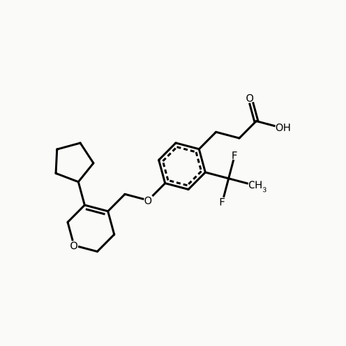 CC(F)(F)c1cc(OCC2=C(C3CCCC3)COCC2)ccc1CCC(=O)O